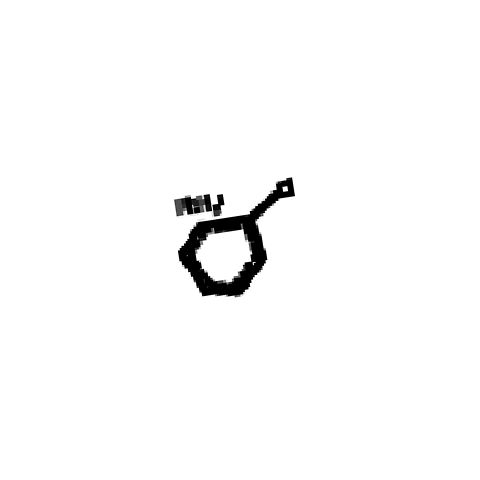 Clc1ccccc1.[PbH2]